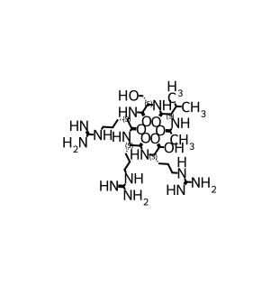 CC(=O)N[C@H](C(=O)N[C@@H](CO)C(=O)N[C@@H](CCCNC(=N)N)C(=O)N[C@@H](CCCNC(=N)N)C(=O)N[C@@H](CCCNC(=N)N)C(=O)O)C(C)C